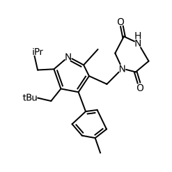 Cc1ccc(-c2c(CN3CC(=O)NCC3=O)c(C)nc(CC(C)C)c2CC(C)(C)C)cc1